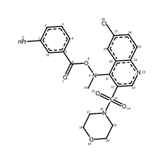 CCCc1cccc(C(=O)ON(C)c2c(S(=O)(=O)N3CCOCC3)cnc3ccc(Cl)cc23)c1